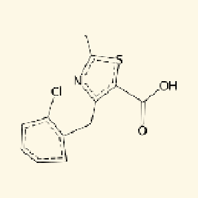 Cc1nc(Cc2ccccc2Cl)c(C(=O)O)s1